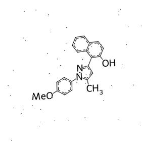 COc1ccc(-n2nc(-c3c(O)ccc4ccccc34)cc2C)cc1